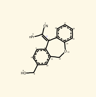 CCC/C(C#N)=C1\c2ccc(CO)cc2COc2ccccc21